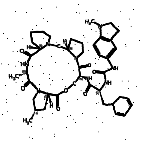 C[C@H]1C[C@H]2C(=O)OC[C@H](NC(=O)[C@H](CC3C=CC=CC3)NC(=O)Nc3ccc4c(c3)CCN4C)C(=O)N3CCC[C@H]3CN3CCCC[C@H]3C(=O)N[C@@H](C)C(=O)N2C1